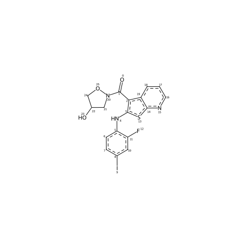 O=C(c1c(Nc2ccc(I)cc2F)sc2ncccc12)N1CC(O)CO1